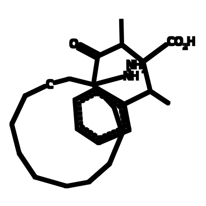 CC(C(=O)C1(NN)CCCCCCCCCCC1)C(C(=O)O)C(C)c1ccccc1